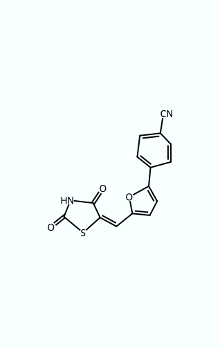 N#Cc1ccc(-c2ccc(C=C3SC(=O)NC3=O)o2)cc1